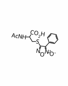 CC(=O)NC(CSc1no[n+]([O-])c1-c1ccccc1)C(=O)O